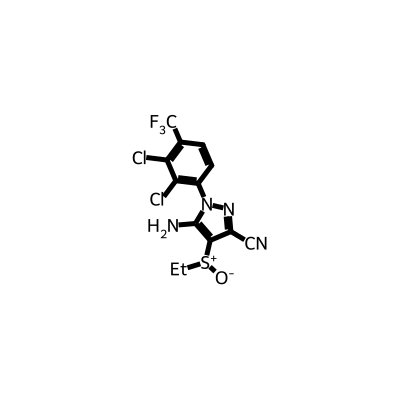 CC[S+]([O-])c1c(C#N)nn(-c2ccc(C(F)(F)F)c(Cl)c2Cl)c1N